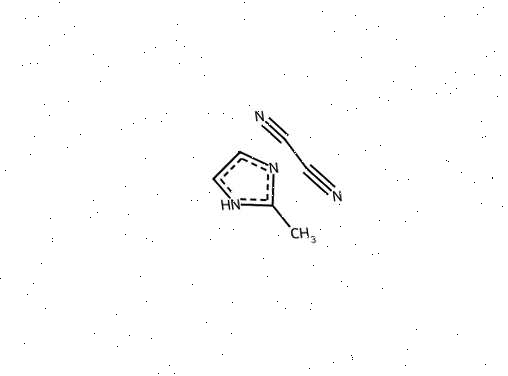 Cc1ncc[nH]1.N#CC#N